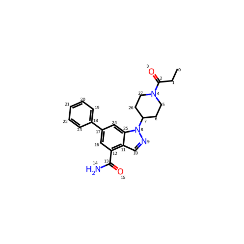 CCC(=O)N1CCC(n2ncc3c(C(N)=O)cc(-c4ccccc4)cc32)CC1